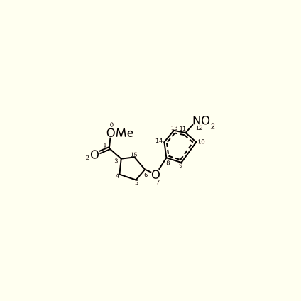 COC(=O)C1CCC(Oc2ccc([N+](=O)[O-])cc2)C1